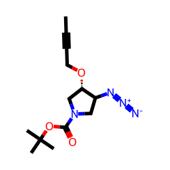 CC#CCO[C@H]1CN(C(=O)OC(C)(C)C)CC1N=[N+]=[N-]